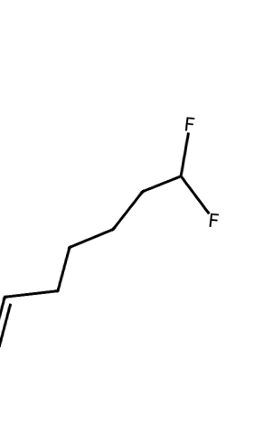 C=CCCCCC(F)F